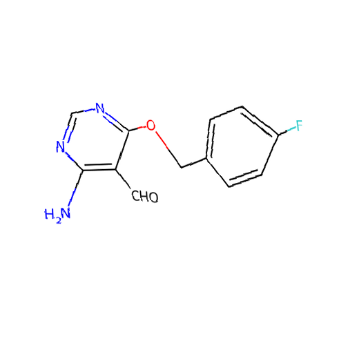 Nc1ncnc(OCc2ccc(F)cc2)c1C=O